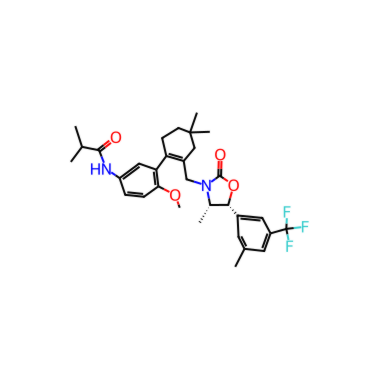 COc1ccc(NC(=O)C(C)C)cc1C1=C(CN2C(=O)O[C@H](c3cc(C)cc(C(F)(F)F)c3)[C@@H]2C)CC(C)(C)CC1